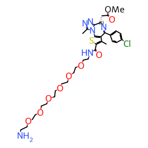 COC(=O)C[C@@H]1N=C(c2ccc(Cl)cc2)c2c(sc(C(=O)NCCOCCOCCOCCOCCOCCOCCN)c2C)-n2c(C)nnc21